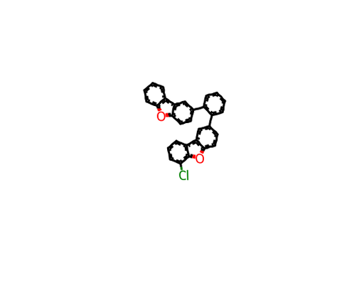 Clc1cccc2c1oc1ccc(-c3ccccc3-c3ccc4oc5ccccc5c4c3)cc12